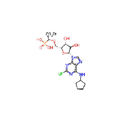 CCOC(=O)[C@@H](OC[C@H]1O[C@@H](n2cnc3c(NC4CCCC4)nc(Cl)nc32)[C@H](O)[C@H]1O)P(=O)(O)O